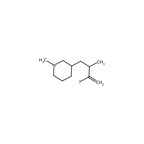 C=C(I)C(C)CC1CCCN(C)C1